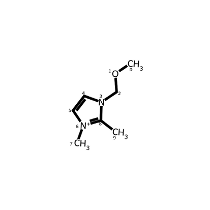 COCn1cc[n+](C)c1C